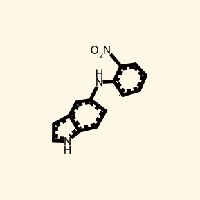 O=[N+]([O-])c1ccc[c]c1Nc1ccc2[nH]ccc2c1